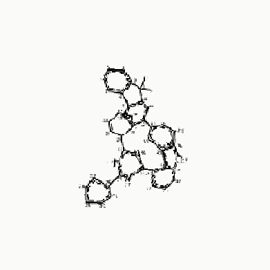 CC1(C)c2ccccc2-c2ccc(-c3ccc4oc5cccc(-c6nc(-c7ccccc7)nc(C7C=CC=CC7)n6)c5c4c3)cc21